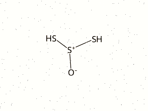 [O-][S+](S)S